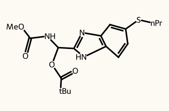 CCCSc1ccc2[nH]c(C(NC(=O)OC)OC(=O)C(C)(C)C)nc2c1